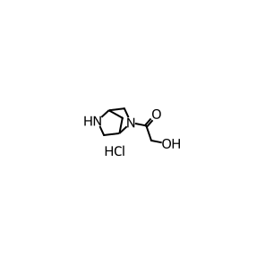 Cl.O=C(CO)N1CC2CC1CN2